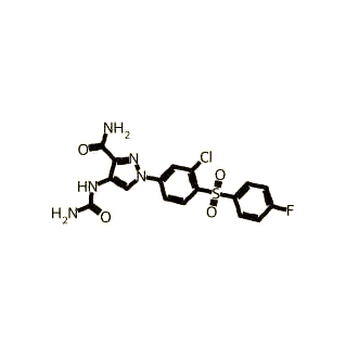 NC(=O)Nc1cn(-c2ccc(S(=O)(=O)c3ccc(F)cc3)c(Cl)c2)nc1C(N)=O